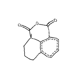 CC12CCCc3cccc(c31)C(=O)OC2=O